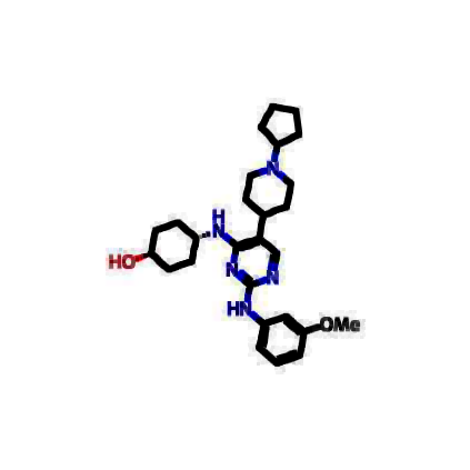 COc1cccc(Nc2ncc(C3CCN(C4CCCC4)CC3)c(N[C@H]3CC[C@H](O)CC3)n2)c1